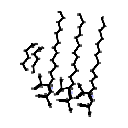 CCCCCCCCCCCC/C(=C/C(=O)[O-])C(=O)[O-].CCCCCCCCCCCC/C(=C/C(=O)[O-])C(=O)[O-].CCCCCCCCCCCC/C(=C/C(=O)[O-])C(=O)[O-].CCC[CH2][Sn+3].CCC[CH2][Sn+3]